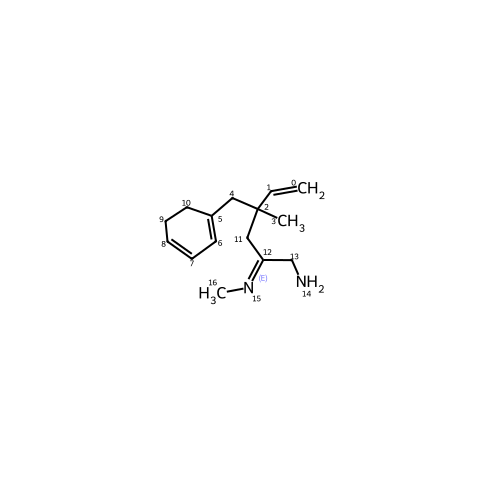 C=CC(C)(CC1=CC=CCC1)C/C(CN)=N\C